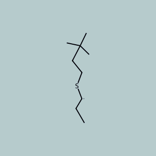 CC[CH]SCCC(C)(C)C